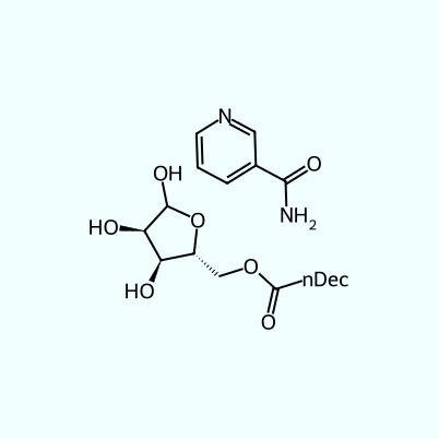 CCCCCCCCCCC(=O)OC[C@H]1OC(O)[C@H](O)[C@@H]1O.NC(=O)c1cccnc1